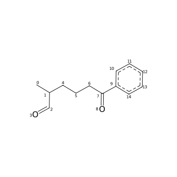 CC(C=O)CCCC(=O)c1ccccc1